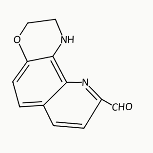 O=Cc1ccc2ccc3c(c2n1)NCCO3